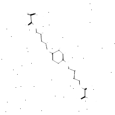 C=C(C)C(=O)OCCCCOC1CCC(OCCCCOC(=O)C(=C)C)CC1